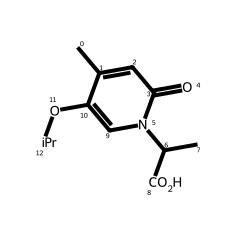 Cc1cc(=O)n(C(C)C(=O)O)cc1OC(C)C